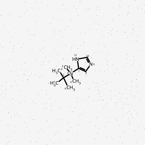 CC(C)(C)[Si](C)(C)c1cnc[nH]1